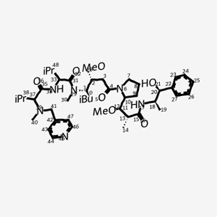 CC[C@H](C)[C@@H]([C@@H](CC(=O)N1CCCC1[C@H](OC)[C@@H](C)C(=O)N[C@H](C)[C@@H](O)c1ccccc1)OC)N(C)C(=O)C(NC(=O)C(C(C)C)N(C)Cc1ccncc1)C(C)C